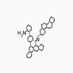 Nc1ccccc1-c1ccc(-c2cc3ccccc3c3cc4ccccc4c(/C=N/Cc4ccc5c(ccc6c7ccccc7ccc56)c4)c23)cc1